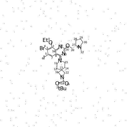 CCOc1c(Br)c(I)cc2c(N3CCC4(CC3)CN(C(=O)OC(C)(C)C)C4)nc(OC[C@@H]3CCCN3C)nc12